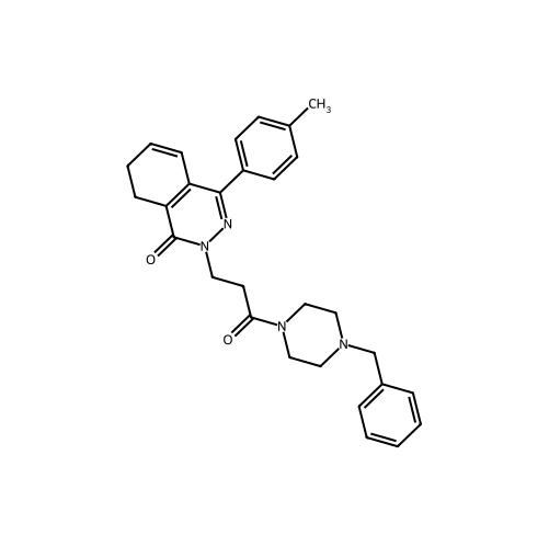 Cc1ccc(-c2nn(CCC(=O)N3CCN(Cc4ccccc4)CC3)c(=O)c3c2C=CCC3)cc1